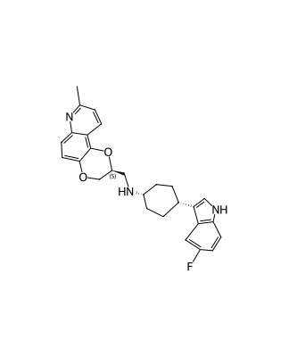 Cc1ccc2c3c(ccc2n1)OC[C@H](CN[C@H]1CC[C@@H](c2c[nH]c4ccc(F)cc42)CC1)O3